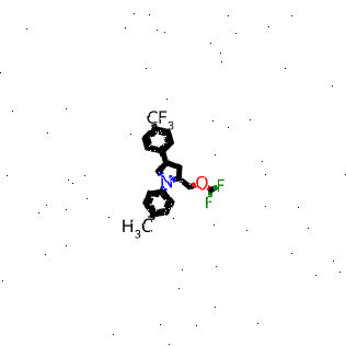 Cc1ccc(N2CC(c3ccc(C(F)(F)F)cc3)CC2COC(F)F)cc1